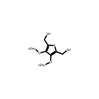 CCCCCCCCCCOc1c(CS)sc(CS)c1OCCCCCCCCCC